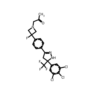 CC(=O)CN1CC(F)(c2ccc(C3=NNC(c4cc(Cl)c(Cl)c(Cl)c4)(C(F)(F)F)C3)cc2)C1